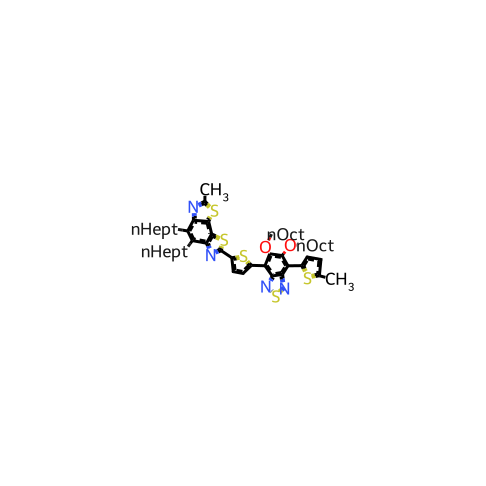 CCCCCCCCOc1c(OCCCCCCCC)c(-c2ccc(-c3nc4c(CCCCCCC)c(CCCCCCC)c5nc(C)sc5c4s3)s2)c2nsnc2c1-c1ccc(C)s1